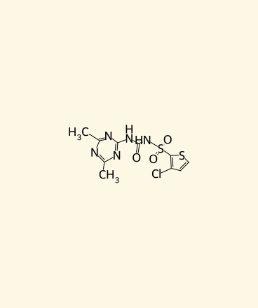 Cc1nc(C)nc(NC(=O)NS(=O)(=O)c2sccc2Cl)n1